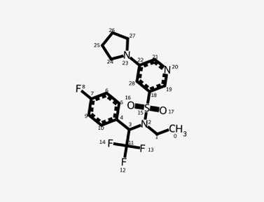 CCN(C(c1ccc(F)cc1)C(F)(F)F)S(=O)(=O)c1cncc(N2CCCC2)c1